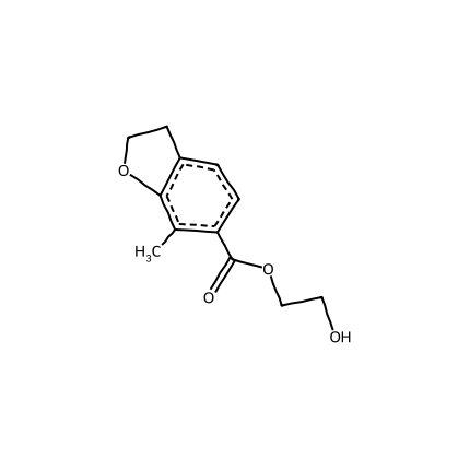 Cc1c(C(=O)OCCO)ccc2c1OCC2